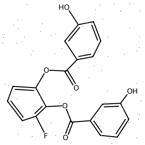 O=C(Oc1cccc(F)c1OC(=O)c1cccc(O)c1)c1cccc(O)c1